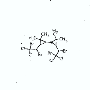 CC1(C)[C]([C@H]2C(C(Br)C(Cl)(Cl)Br)C2(C)C)[C@@H]1[C@@H](Br)C(Cl)(Cl)Br